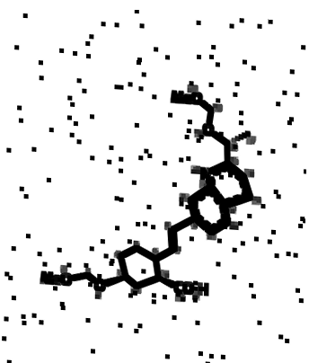 COCO[C@H]1CCC(/C=C/c2ccc3ccc([C@@H](C)OCOC)nc3c2)[C@@H](C(=O)O)C1